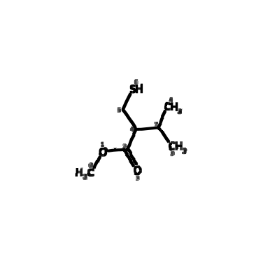 COC(=O)C(CS)C(C)C